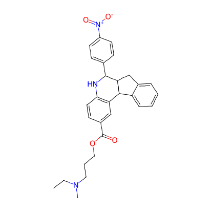 CCN(C)CCCOC(=O)c1ccc2c(c1)C1c3ccccc3CC1C(c1ccc([N+](=O)[O-])cc1)N2